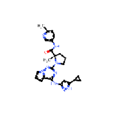 Cc1ccc(NC(=O)[C@]2(C)CCCN2c2nc(Nc3cc(C4CC4)[nH]n3)c3cccn3n2)cn1